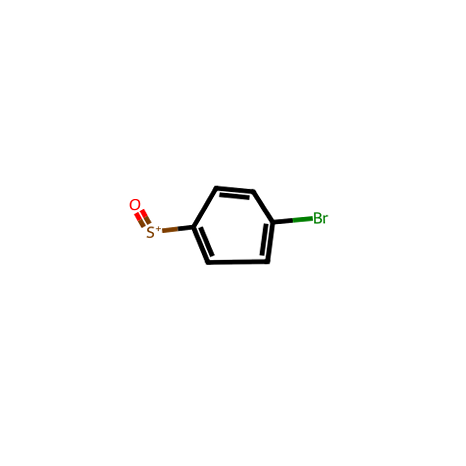 O=[S+]c1ccc(Br)cc1